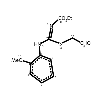 CCOC(=O)/N=C(/Nc1ccccc1OC)SCC=O